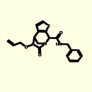 C=CCON1C(=O)N2CC1c1ccsc1C2C(=O)NCc1ccccc1